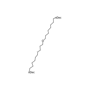 CCCCCCCCCCCCCCCC[CH]CCCOCCCCCCCCCCCCCCCCCC